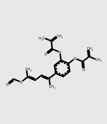 C=C(C)C(=O)Oc1ccc(/C(C)=C/C=C(\C)OC=O)cc1OC(=O)C(=C)C